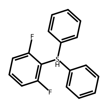 Fc1cccc(F)c1[SH](c1ccccc1)c1ccccc1